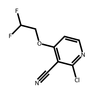 N#Cc1c(OCC(F)F)ccnc1Cl